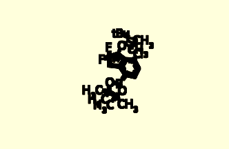 CC1(C)OB(c2ccc(Cl)c3c2CC(F)(F)[C@H]3O[Si](C)(C)C(C)(C)C)OC1(C)C